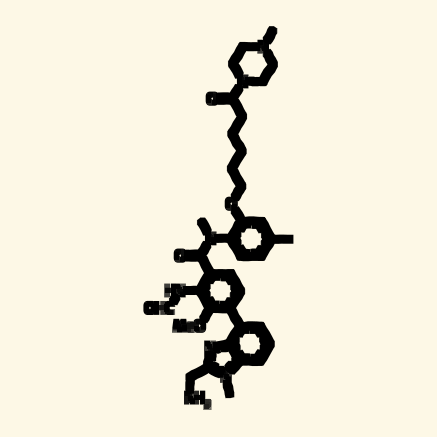 COc1c(-c2cccc3c2nc(CN)n3C)ccc(C(=O)N(C)c2ccc(C)cc2OCCCCCC(=O)N2CCN(C)CC2)c1NC=O